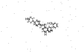 Oc1ccccc1-c1cc2c(nn1)NC[C@H](CNc1ncc(C3CCNCC3)cn1)N2